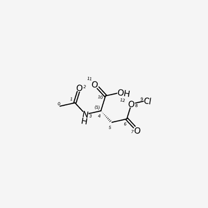 CC(=O)N[C@@H](CC(=O)OCl)C(=O)O